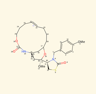 COc1ccc(CN2C(=O)SC[C@H]2[C@@]2(OC)C[C@H]3CC(CCC/C=C/CCCOC(=O)N3)O2)cc1